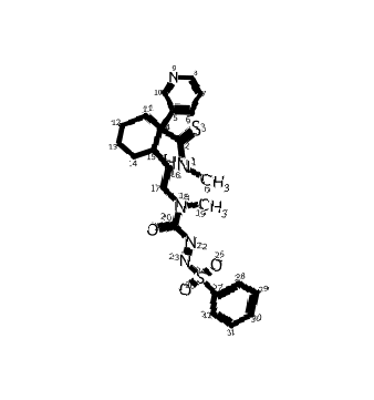 CNC(=S)C1(c2cccnc2)CCCCC1CCN(C)C(=O)/N=N/S(=O)(=O)c1ccccc1